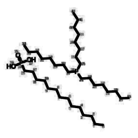 CCCCCCCCCCCCCCP(=O)(O)O.CCCCCCCCP(CCCCCCCC)CCCCCCCC